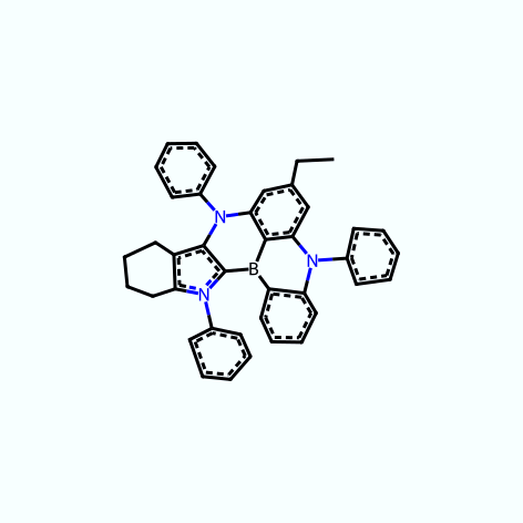 CCc1cc2c3c(c1)N(c1ccccc1)c1c4c(n(-c5ccccc5)c1B3c1ccccc1N2c1ccccc1)CCCC4